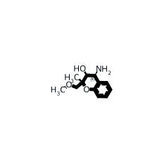 COC[C@@]1(C)Oc2ccccc2[C@@H](N)[C@@H]1O